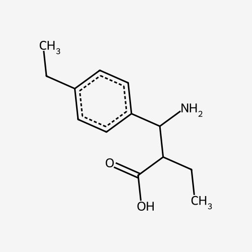 CCc1ccc(C(N)C(CC)C(=O)O)cc1